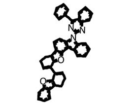 C1=C(C2=CCCc3c2oc2c3ccc3c2c2ccccc2n3-c2nc(-c3ccccc3)c3ccccc3n2)c2oc3ccccc3c2CC1